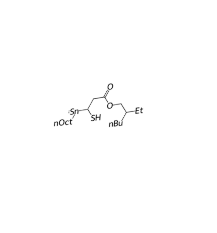 CCCCCCC[CH2][Sn][CH](S)CC(=O)OCC(CC)CCCC